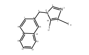 Ic1ncn(Cc2ccc3ccccc3c2)c1I